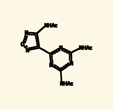 CC(=O)Nc1nc(NC(C)=O)nc(-c2nonc2NC(C)=O)n1